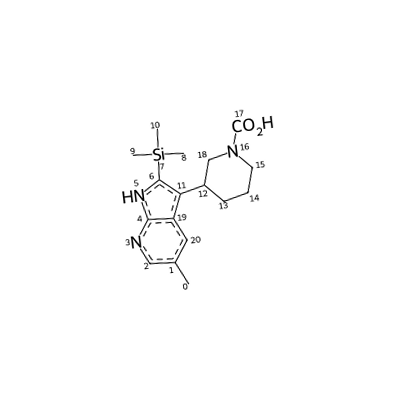 Cc1cnc2[nH]c([Si](C)(C)C)c(C3CCCN(C(=O)O)C3)c2c1